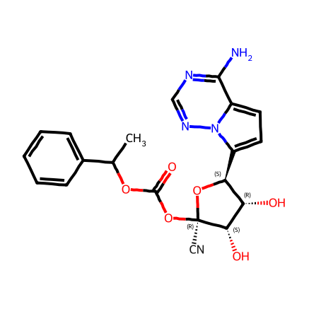 CC(OC(=O)O[C@@]1(C#N)O[C@@H](c2ccc3c(N)ncnn23)[C@H](O)[C@@H]1O)c1ccccc1